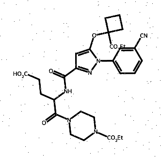 CCOC(=O)N1CCN(C(=O)C(CCC(=O)O)NC(=O)c2cc(OC3(C(=O)OCC)CCC3)n(-c3cccc(C#N)c3)n2)CC1